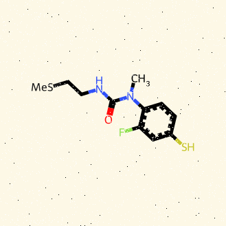 CSCCNC(=O)N(C)c1ccc(S)cc1F